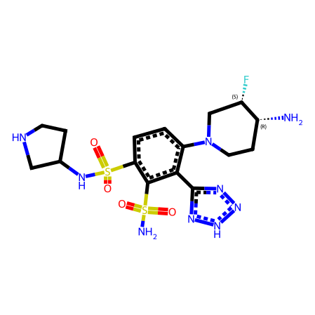 N[C@@H]1CCN(c2ccc(S(=O)(=O)NC3CCNC3)c(S(N)(=O)=O)c2-c2nn[nH]n2)C[C@@H]1F